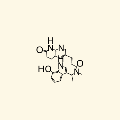 CC(c1c[nH]c2c(O)cccc12)N(C)C(=O)C=Cc1cnc2c(c1)CCC(=O)N2